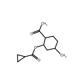 CC(=O)C1CCC(C)CC1OC(=O)C1CC1